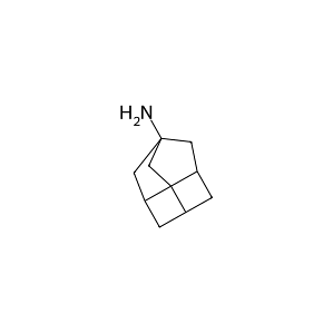 NC12CC3CC4CC(C1)C43C2